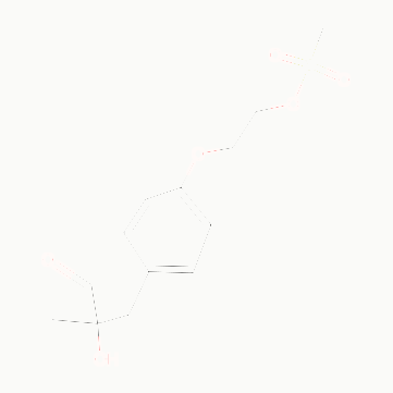 CC(O)(C=O)Cc1ccc(OCCOS(C)(=O)=O)cc1